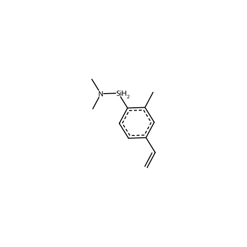 C=Cc1ccc([SiH2]N(C)C)c(C)c1